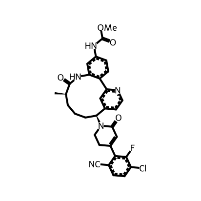 COC(=O)Nc1ccc2c(c1)NC(=O)[C@H](C)CCC[C@H](N1CCC(c3c(C#N)ccc(Cl)c3F)=CC1=O)c1ccnc-2c1